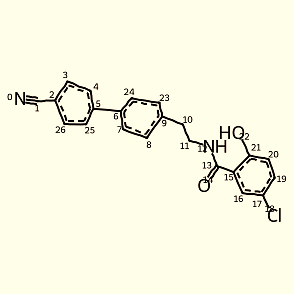 N#Cc1ccc(-c2ccc(CCNC(=O)c3cc(Cl)ccc3O)cc2)cc1